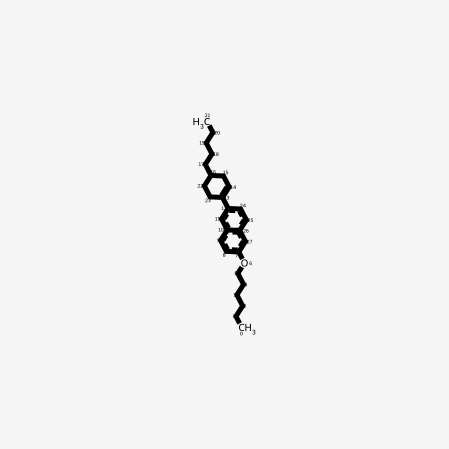 CCCCCCOc1ccc2cc(C3=CCC(CCCCC)CC3)ccc2c1